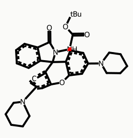 CC(C)(C)OC(=O)NN1C(=O)c2ccccc2C12c1ccc(N3CCCCC3)cc1Oc1cc(N3CCCCC3)ccc12